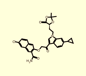 CC1(C)OC(=O)[C@H](CCn2cc(C(=O)COc3cc4ccc(Cl)cc4cc3C(N)=O)c3ccc(C4CC4)cc32)O1